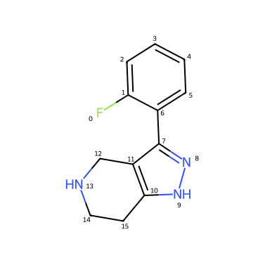 Fc1ccccc1-c1n[nH]c2c1CNCC2